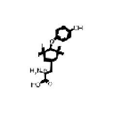 N[C@@H](CC1=CC(I)(I)C(Oc2ccc(O)cc2)C(I)(I)C1)C(=O)O